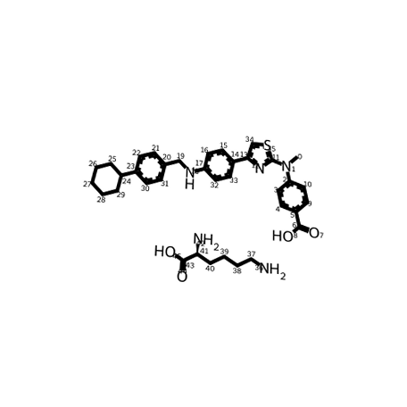 CN(c1ccc(C(=O)O)cc1)c1nc(-c2ccc(NCc3ccc(C4CCCCC4)cc3)cc2)cs1.NCCCC[C@H](N)C(=O)O